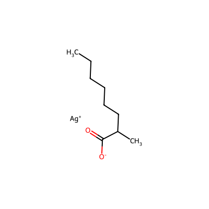 CCCCCCC(C)C(=O)[O-].[Ag+]